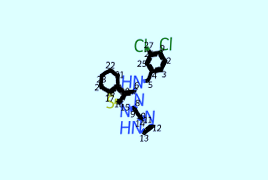 Clc1ccc(CNc2nc(-c3ncc[nH]3)nc3sc4c(c23)CCCC4)cc1Cl